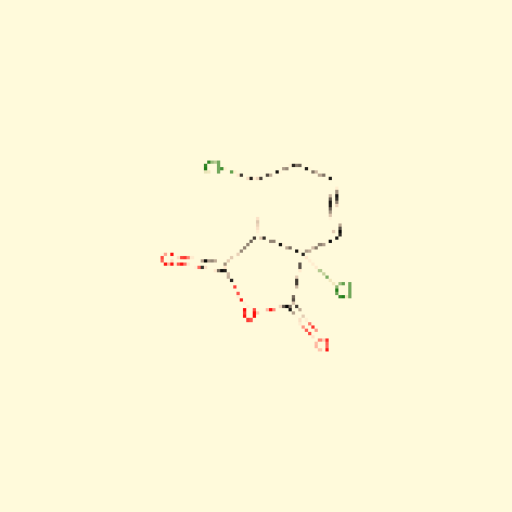 O=C1OC(=O)C2(Cl)C=CCC(Cl)C12